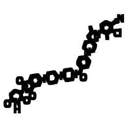 Cc1c(N2CC3(CCN(c4ccc(C(=O)N5CCN(C6CCN(c7ccc8c(c7)C(=O)N(C7CCC(=O)NC7=O)C8=O)CC6)CC5)cc4)CC3)CC2C)ccc(C#N)c1Cl